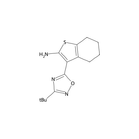 CC(C)(C)c1noc(-c2c(N)sc3c2CCCC3)n1